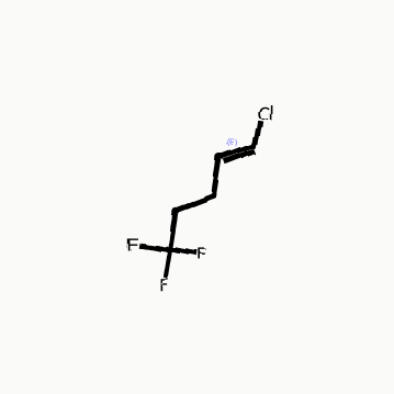 FC(F)(F)CC/C=C/Cl